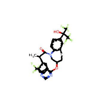 CC(C(=O)N1CC(Oc2cc(C(F)(F)F)ncn2)CCc2cc(C(O)(C(F)(F)F)C(F)(F)F)ccc21)c1ccccc1